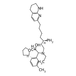 C=C(O)C(c1cc(C)ccc1[C@@H]1CCCO1)N(CC)CC[C@H](P)CCCCc1ccc2c(n1)NCCC2